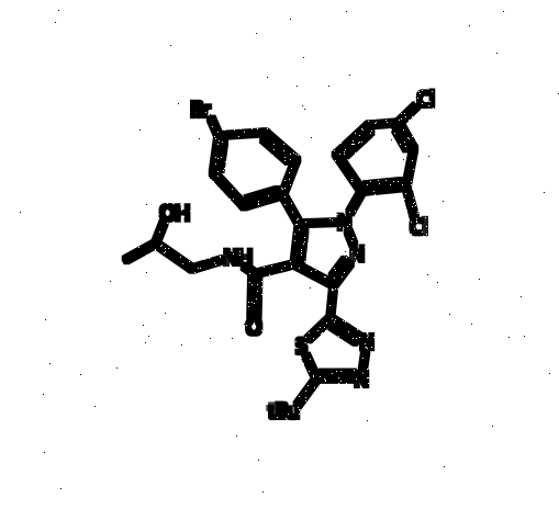 CC(O)CNC(=O)c1c(-c2nnc(C(C)(C)C)s2)nn(-c2ccc(Cl)cc2Cl)c1-c1ccc(Br)cc1